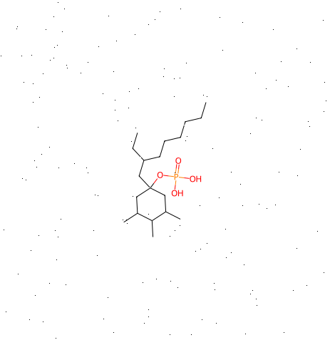 CCCCCCC(CC)CC1(OP(=O)(O)O)CC(C)C(C)C(C)C1